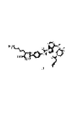 C[C@@H]1CCN(C(=O)CC#N)C[C@@H]1N(C)c1ncnc2c1ccn2C(=O)Nc1ccc(C(=O)NC(CCCCN)C(=O)O)cc1.Cl